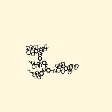 CCCCOC(=O)[C@@H](C)Oc1ccc(Oc2ccc(C#N)cc2F)cc1.CCOC(=O)C1=NOC(c2ccccc2)(c2ccccc2)C1.CS(=O)(=O)c1ccc(C(=O)C2C(=O)CCCC2=O)c(Cl)c1COCC(F)(F)F.CS(=O)(=O)c1ccc(C(=O)C2C(=O)CCCC2=O)c(Cl)c1COCC1CCCO1